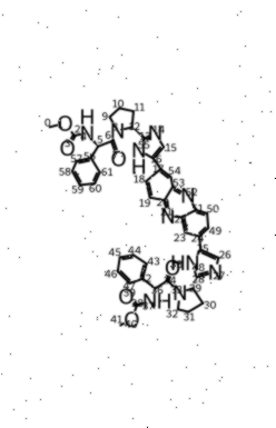 COC(=O)N[C@@H](C(=O)N1CCC[C@H]1c1ncc(-c2ccc3nc4cc(-c5cnc([C@@H]6CCCN6C(=O)[C@H](NC(=O)OC)c6ccccc6)[nH]5)ccc4nc3c2)[nH]1)c1ccccc1